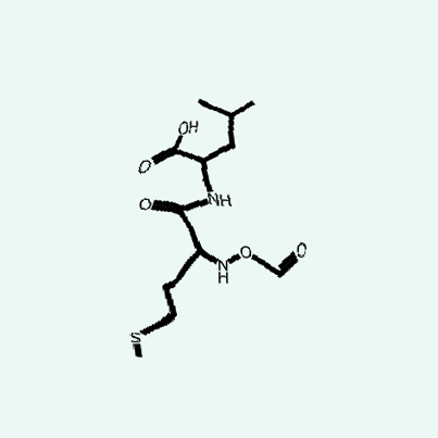 CSCCC(NOC=O)C(=O)NC(CC(C)C)C(=O)O